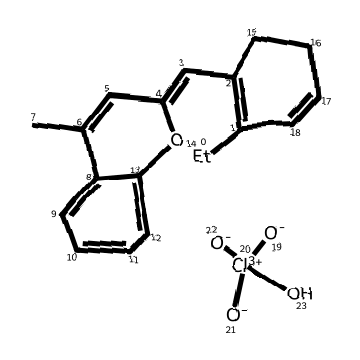 CCC1=C(C=C2C=C(C)c3ccccc3O2)CCC=C1.[O-][Cl+3]([O-])([O-])O